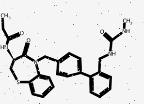 CCC(=O)N[C@@H]1CSc2ccccc2N(Cc2ccc(-c3ccccc3CNC(=O)NC)cc2)C1=O